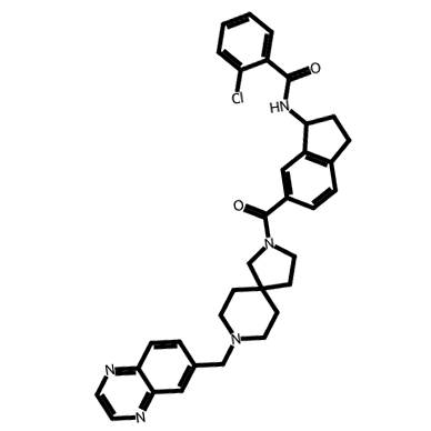 O=C(NC1CCc2ccc(C(=O)N3CCC4(CCN(Cc5ccc6nccnc6c5)CC4)C3)cc21)c1ccccc1Cl